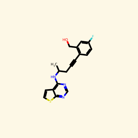 CC(CC#Cc1ccc(F)cc1CO)Nc1ncnc2sccc12